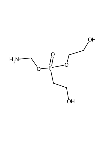 NCOP(=O)(CCO)OCCO